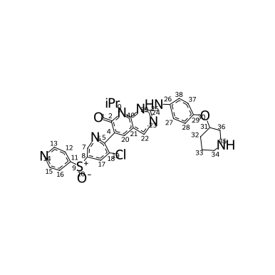 CC(C)n1c(=O)c(-c2ncc([S+]([O-])c3ccncc3)cc2Cl)cc2cnc(Nc3ccc(OC4CCCNC4)cc3)nc21